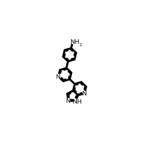 Nc1ccc(-c2cncc(-c3ccnc4[nH]ncc34)c2)cc1